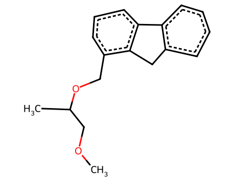 COCC(C)OCc1cccc2c1Cc1ccccc1-2